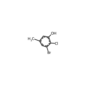 Cc1cc(O)c(Cl)c(Br)c1